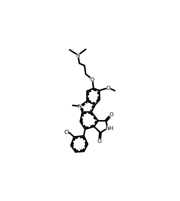 COc1cc2c3c4c(c(-c5ccccc5Cl)cc3n(C)c2cc1OCCCN(C)C)C(=O)NC4=O